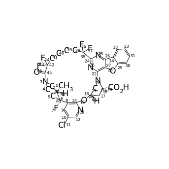 C[C@H]1CN2CC[C@]1(F)c1cc(Cl)cnc1O[C@H]1C[C@@H](C(=O)O)N(C1)c1nc(nc3c1oc1ccccc13)C(F)(F)CCCCC(F)(F)C2=O